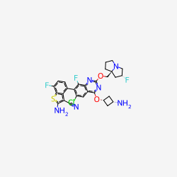 N#Cc1c(N)sc2c(F)ccc(-c3c(Cl)cc4c(O[C@H]5C[C@@H](N)C5)nc(OC[C@@]56CCCN5C[C@H](F)C6)nc4c3F)c12